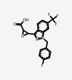 O=C(O)C1OC1c1nn(Cc2ccc(F)cc2)c2cc(C(F)(F)F)ccc12